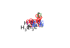 CCCCCCOc1nsnc1C1=CCC[N+](C)(C(OC(=O)C2CCOCC2)c2ccccc2)C1.CCCCCCOc1nsnc1C1=CCC[N+](C)(C(OC(=O)C2CCOCC2)c2ccccc2)C1.O=C([O-])C1CCOC(Cl)(Cc2ccccc2)C1.[I-]